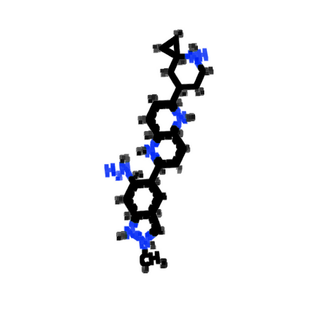 Cn1cc2cc(-c3ccc4nc(C5CCNC6(CC6)C5)ccc4n3)c(N)cc2n1